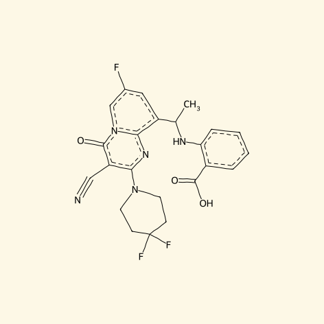 CC(Nc1ccccc1C(=O)O)c1cc(F)cn2c(=O)c(C#N)c(N3CCC(F)(F)CC3)nc12